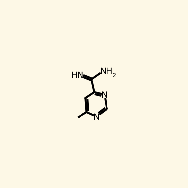 Cc1cc(C(=N)N)ncn1